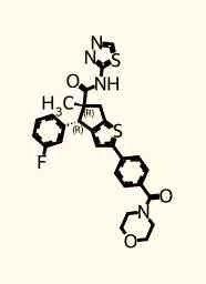 C[C@@]1(C(=O)Nc2nncs2)Cc2sc(-c3ccc(C(=O)N4CCOCC4)cc3)cc2[C@@H]1c1cccc(F)c1